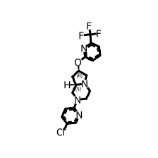 FC(F)(F)c1cccc(O[C@@H]2C[C@H]3CN(c4ccc(Cl)cn4)CCN3C2)n1